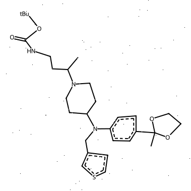 CC(CCNC(=O)OC(C)(C)C)N1CCC(N(Cc2ccsc2)c2ccc(C3(C)OCCO3)cc2)CC1